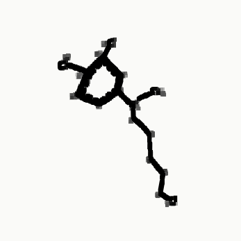 [O-][S+](CCCCCCl)c1ccc(Cl)c(Cl)c1